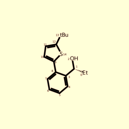 CC[C@@H](O)c1ccccc1-c1ccc(C(C)(C)C)s1